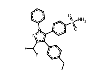 CCc1ccc(-c2c(C(F)F)nn(-c3ccccc3)c2-c2ccc(S(N)(=O)=O)cc2)cc1